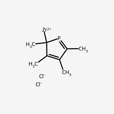 CC1=P[C](C)([Zr+2])C(C)=C1C.[Cl-].[Cl-]